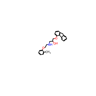 Cc1ccccc1OCCNCC(O)COc1cccc2c1-c1ccccc1C2